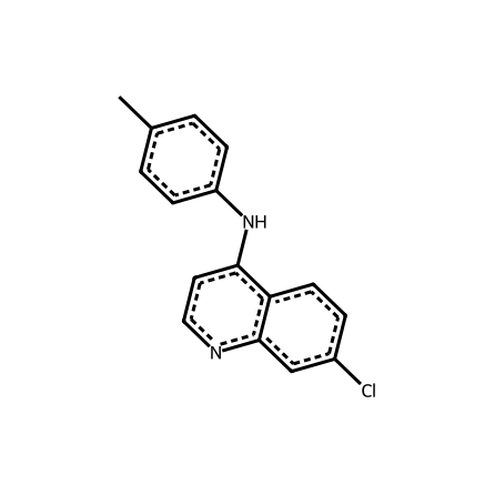 Cc1ccc(Nc2ccnc3cc(Cl)ccc23)cc1